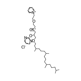 CC(C)CCCC(C)CCCC(C)CCCC(C)CCOCC(C[S+]([O-])CCOCC[n+]1ccccc1)Oc1ncccn1.[Cl-]